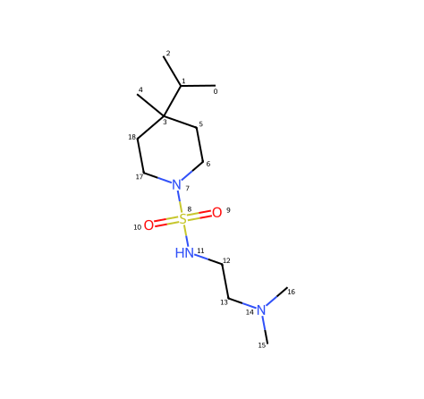 CC(C)C1(C)CCN(S(=O)(=O)NCCN(C)C)CC1